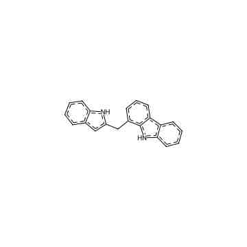 c1ccc2[nH]c(Cc3cccc4c3[nH]c3ccccc34)cc2c1